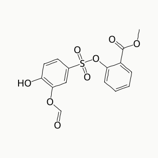 COC(=O)c1ccccc1OS(=O)(=O)c1ccc(O)c(OC=O)c1